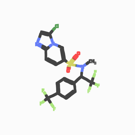 CN(C(c1ccc(C(F)(F)F)cc1)C(F)(F)F)S(=O)(=O)c1ccc2ncc(Cl)n2c1